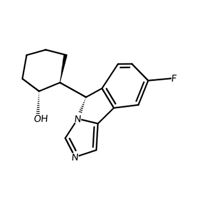 O[C@@H]1CCCC[C@H]1[C@@H]1c2ccc(F)cc2-c2cncn21